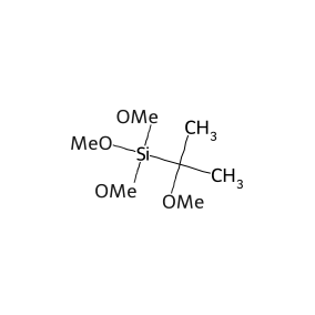 COC(C)(C)[Si](OC)(OC)OC